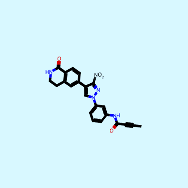 CC#CC(=O)Nc1cccc(-n2cc(-c3ccc4c(c3)CCNC4=O)c([N+](=O)[O-])n2)c1